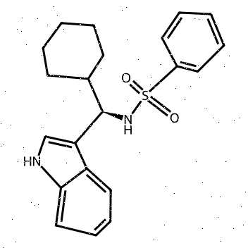 O=S(=O)(N[C@@H](c1c[nH]c2ccccc12)C1CCCCC1)c1ccccc1